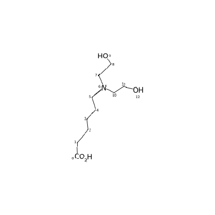 O=C(O)CCCCCN(CCO)CCO